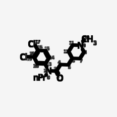 CCCN(C(=O)CCC1CCN(C)CC1)c1ccc(Cl)c(Cl)c1